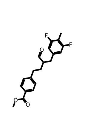 COC(=O)c1ccc(CCC(C=O)Cc2cc(F)c(C)c(F)c2)cc1